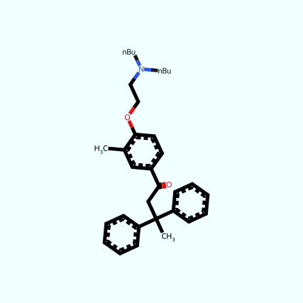 CCCCN(CCCC)CCOc1ccc(C(=O)CC(C)(c2ccccc2)c2ccccc2)cc1C